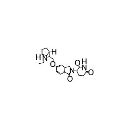 CCN1[C@H]2CC[C@H](C2)[C@H]1COc1ccc2c(c1)CN([C@@H]1CCC(=O)NC1=O)C2=O